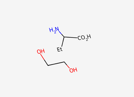 CCC(N)C(=O)O.OCCO